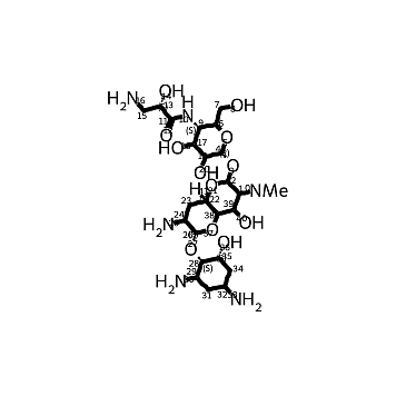 CNC1C(O[C@H]2OC(CO)[C@@H](NC(=O)[C@@H](O)CN)C(O)C2O)O[C@H]2CC(N)[C@@H](O[C@H]3C(N)CC(N)C[C@H]3O)OC2C1O